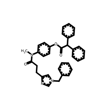 CN(C(=O)CCc1cn(Cc2ccccc2)cn1)c1ccc(OC(=O)C(c2ccccc2)c2ccccc2)cc1